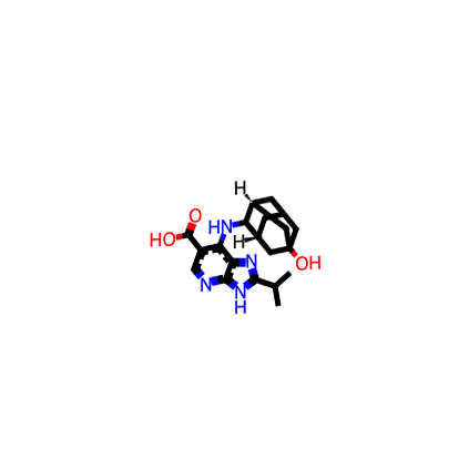 CC(C)c1nc2c(NC3[C@@H]4CC5C[C@H]3CC(O)(C5)C4)c(C(=O)O)cnc2[nH]1